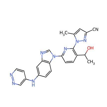 Cc1cc(C#N)nn1-c1nc(-n2cnc3cc(Nc4ccnnc4)ccc32)ccc1C(C)O